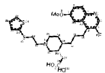 COc1ccc2ncc(F)c(CCC[C@@H]3CCN(CCSc4cccs4)C[C@H]3CC(=O)O)c2c1.Cl